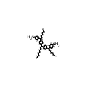 CCCCCCCCC(c1ccc(C(CCCCCC)c2ccc(N)cc2)cc1)c1ccc(C(CCCCCC)c2ccc(N)cc2)cc1